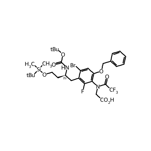 CC(C)(C)OC(=O)N[C@H](CCO[Si](C)(C)C(C)(C)C)Cc1c(Br)cc(OCc2ccccc2)c(N(CC(=O)O)C(=O)C(F)(F)F)c1F